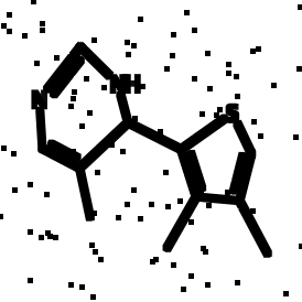 CC1=CN=CNC1c1scc(C)c1C